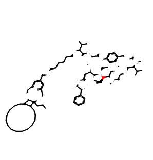 CCCC1(C2CCCCCCCCCCCCCCC2)SCc2cc(C(=O)NCCCCCC(=O)NC(C(=O)NCC(=O)Nc3ccc(COC(=O)N(C)C(C(=O)NCC(=O)N(C)C([C@@H](C)CC)[C@@H](CC(=O)N4CCC[C@H]4[C@H](OC)[C@@H](C)C(=O)N[C@H](C)[C@@H](O)c4ccccc4)OC)C(C)C)cc3)C(C)C)cc(n2)CSC1C